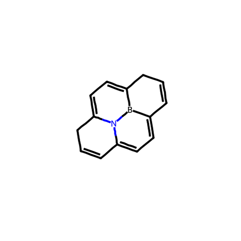 C1=CC2=CC=C3C=CCC4=CC=C(C1)B2N34